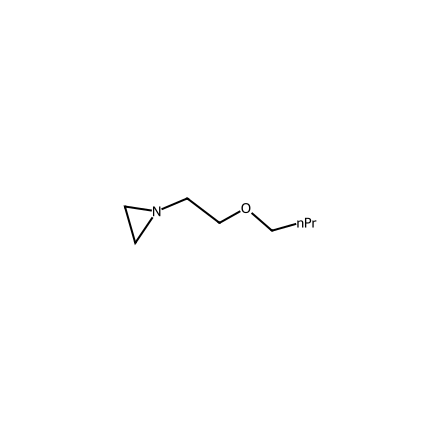 CCCCOCCN1CC1